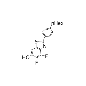 CCCCCCc1ccc(-c2nc3c(F)c(F)c(O)cc3s2)cc1